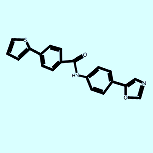 O=C(Nc1ccc(-c2cnco2)cc1)c1ccc(-c2cccs2)cc1